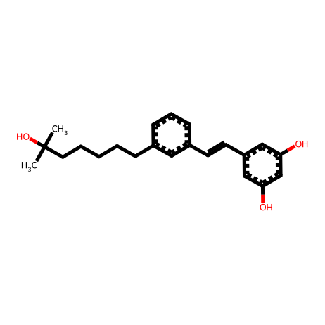 CC(C)(O)CCCCCc1cccc(/C=C/c2cc(O)cc(O)c2)c1